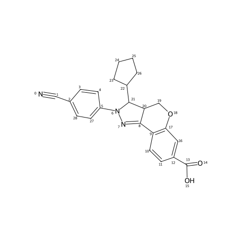 N#Cc1ccc(N2N=C3c4ccc(C(=O)O)cc4OCC3C2C2CCCC2)cc1